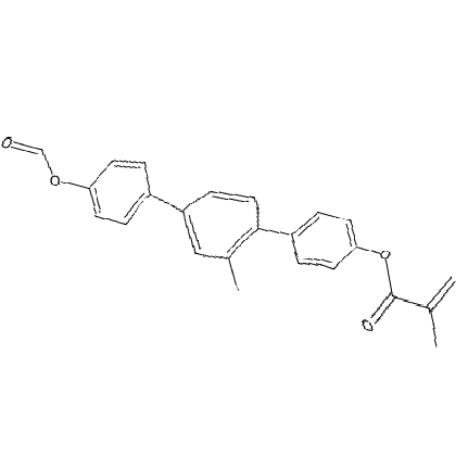 C=C(C)C(=O)Oc1ccc(-c2ccc(-c3ccc(OC=O)cc3)cc2C)cc1